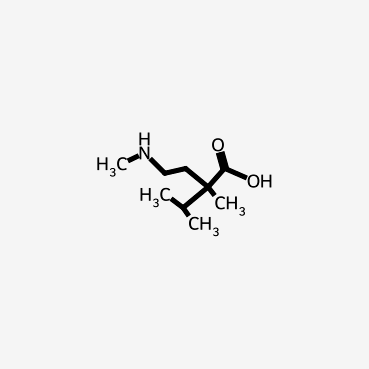 CNCCC(C)(C(=O)O)C(C)C